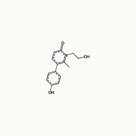 Cc1c(-c2ccc(O)cc2)ccc(=O)n1CCO